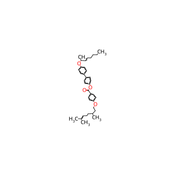 CCCCCCC(C)Oc1ccc(-c2ccc(OC(=O)c3ccc(OCCC(C)CCC=C(C)C)cc3)cc2)cc1